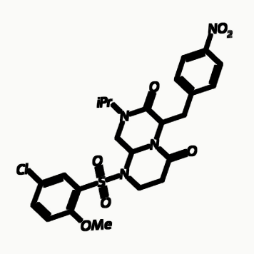 COc1ccc(Cl)cc1S(=O)(=O)N1CCC(=O)N2C(Cc3ccc([N+](=O)[O-])cc3)C(=O)N(C(C)C)CC21